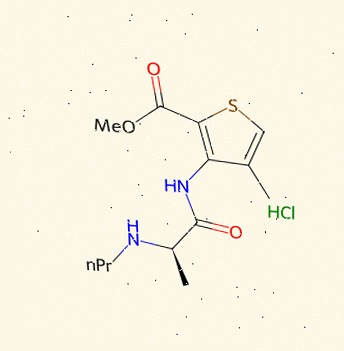 CCCN[C@H](C)C(=O)Nc1c(C)csc1C(=O)OC.Cl